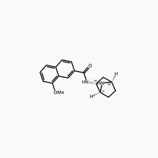 COc1cccc2ccc(C(=O)N[C@@H]3C[C@H]4CC[C@@H]3N4)cc12